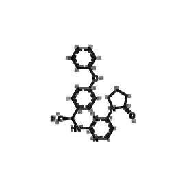 C[C@H](Nc1nccc(N2CCCC2=O)n1)c1ccc(Oc2ccccc2)cc1